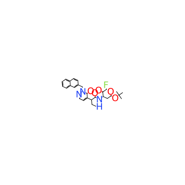 CCC(C(=O)NC(CC(=O)OC(C)(C)C)C(=O)CF)c1ccnn(Cc2ccc3ccccc3c2)c1=O